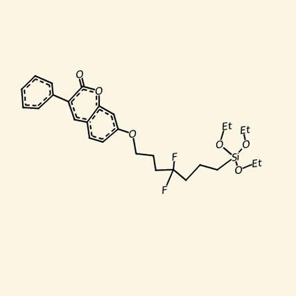 CCO[Si](CCCC(F)(F)CCCOc1ccc2cc(-c3ccccc3)c(=O)oc2c1)(OCC)OCC